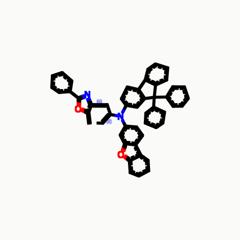 C=c1oc(-c2ccccc2)n/c1=C/C(=C\C)N(c1ccc2c(c1)C(c1ccccc1)(c1ccccc1)c1ccccc1-2)c1ccc2c(c1)oc1ccccc12